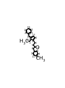 CCC1C(CCC(=O)Cc2ccc(C)cc2)=CC=C1Cc1ccccc1